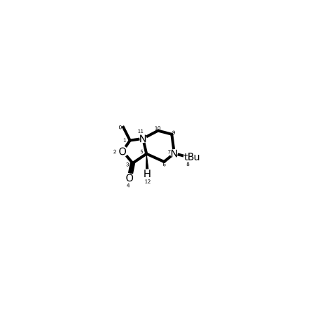 CC1OC(=O)[C@H]2CN(C(C)(C)C)CCN12